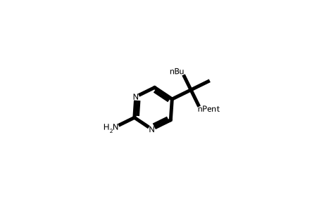 CCCCCC(C)(CCCC)c1cnc(N)nc1